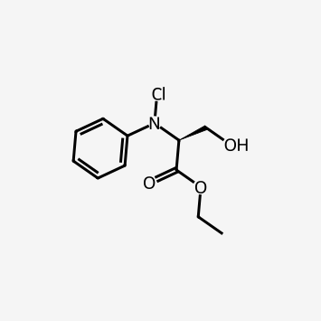 CCOC(=O)[C@H](CO)N(Cl)c1ccccc1